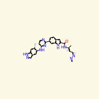 C=N/N=C\C=C(/C)NC(=O)c1cc2ccc(-c3nccc(Nc4cc5cn[nH]c5cc4F)n3)cc2[nH]1